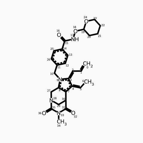 C=C/C=c1\c(=C/C)c2c(n1Cc1ccc(C(=O)NOC3CCCCO3)cc1)CN1CC2C(=O)N(C)C1=O